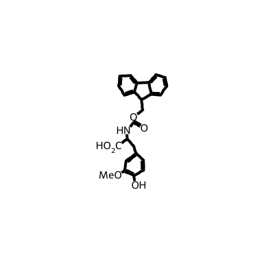 COc1cc(CC(NC(=O)OCC2c3ccccc3-c3ccccc32)C(=O)O)ccc1O